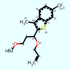 C=CCOC(CCOCCCC)c1sc2cc(C(F)(F)F)ccc2c1C